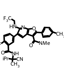 CNC(=O)c1c(-c2ccc(C)cc2)oc2nc(NCC(F)(F)F)c(-c3ccc(F)c(C(=O)NC(C)(C#N)C(C)C)c3)cc12